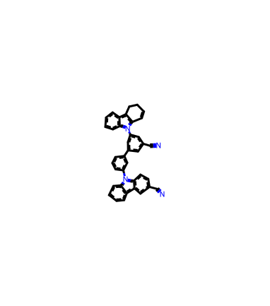 N#Cc1cc(-c2cccc(-n3c4ccccc4c4cc(C#N)ccc43)c2)cc(-n2c3c(c4ccccc42)CCC=C3)c1